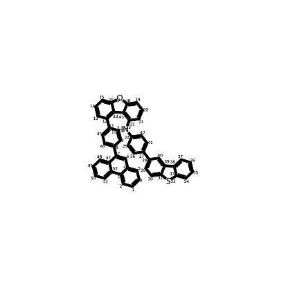 c1ccc2c(c1)cc(-c1ccc(-c3cccc4oc5cccc(Nc6ccc(-c7ccc8sc9ccccc9c8c7)cc6)c5c34)cc1)c1ccccc12